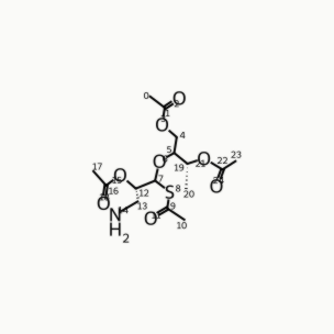 CC(=O)OCC(OC(SC(C)=O)[C@H](CN)OC(C)=O)[C@@H](C)OC(C)=O